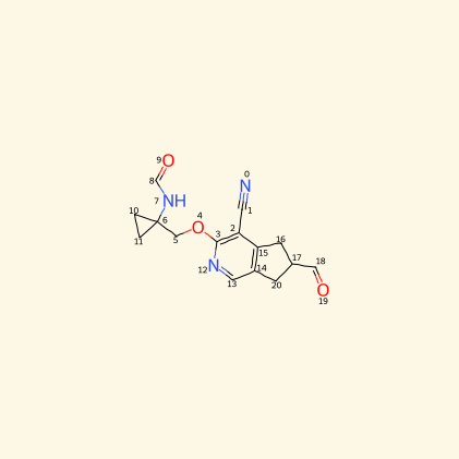 N#Cc1c(OCC2(NC=O)CC2)ncc2c1CC(C=O)C2